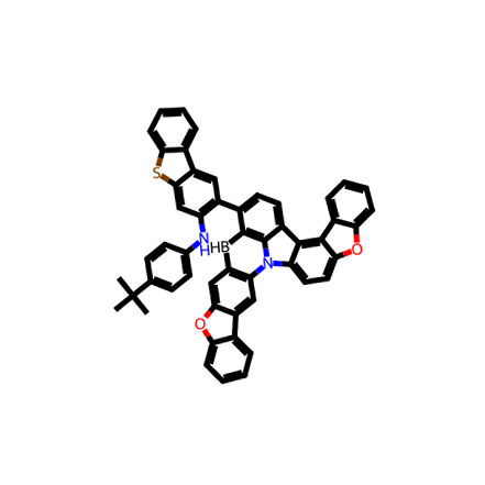 CC(C)(C)c1ccc(Nc2cc3sc4ccccc4c3cc2-c2ccc3c4c5c(ccc4n4c3c2Bc2cc3oc6ccccc6c3cc2-4)oc2ccccc25)cc1